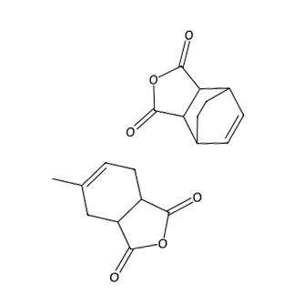 CC1=CCC2C(=O)OC(=O)C2C1.O=C1OC(=O)C2C3C=CC(CC3)C12